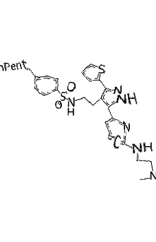 CCCCCc1ccc(S(=O)(=O)NCCc2c(-c3cccs3)n[nH]c2-c2cccc(NCCN(C)C)n2)cc1